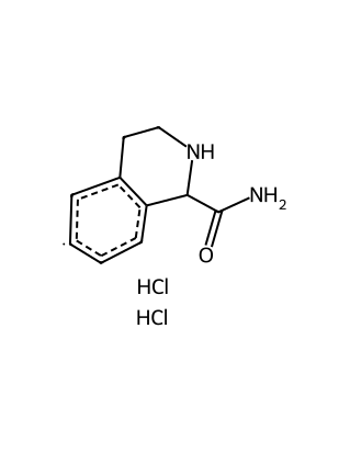 Cl.Cl.NC(=O)C1NCCc2c[c]ccc21